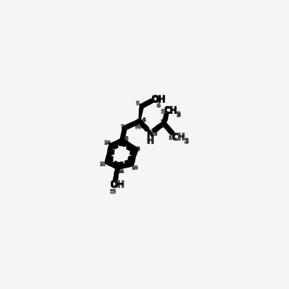 CC(C)N[C@H](CO)Cc1ccc(O)cc1